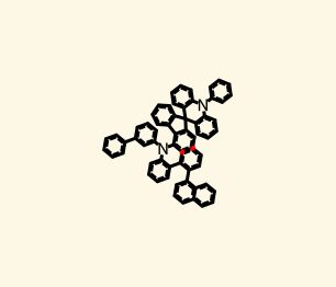 c1ccc(-c2cccc(N(c3ccccc3-c3ccccc3-c3cccc4ccccc34)c3cccc4c3-c3ccccc3C43c4ccccc4N(c4ccccc4)c4ccccc43)c2)cc1